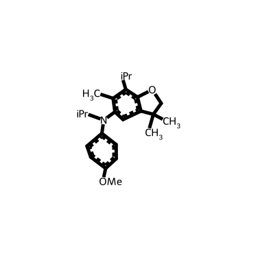 COc1ccc(N(c2cc3c(c(C(C)C)c2C)OCC3(C)C)C(C)C)cc1